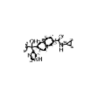 CC(C)C(O)(c1ccc2cc(C(=O)NC3CC3)ccc2c1)c1c[nH]cn1